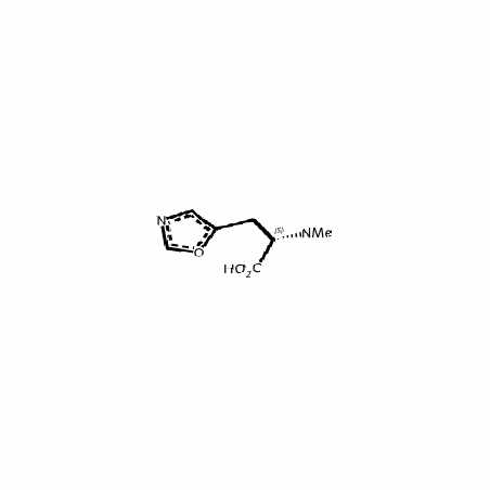 CN[C@@H](Cc1cnco1)C(=O)O